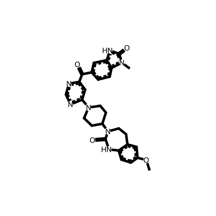 COc1ccc2c(c1)CCN(C1CCN(c3cc(C(=O)c4ccc5c(c4)[nH]c(=O)n5C)ncn3)CC1)C(=O)N2